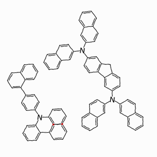 c1ccc(-c2ccccc2N(c2ccccc2)c2ccc(-c3cccc4ccccc34)cc2)cc1.c1ccc2cc(N(c3ccc4c(c3)Cc3ccc(N(c5ccc6ccccc6c5)c5ccc6ccccc6c5)cc3-4)c3ccc4ccccc4c3)ccc2c1